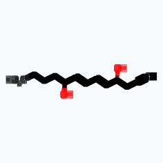 C#CC[C@@H](O)/C=C/C=C/[C@@H](O)CCCC(=O)O